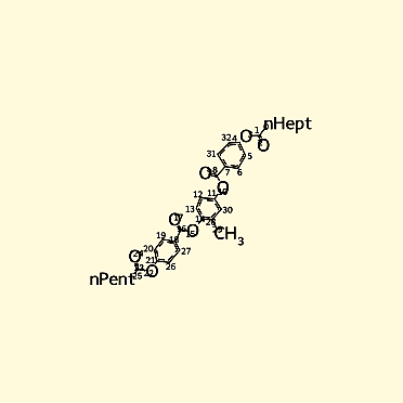 CCCCCCCC(=O)Oc1ccc(C(=O)Oc2ccc(OC(=O)c3ccc(OC(=O)CCCCC)cc3)c(C)c2)cc1